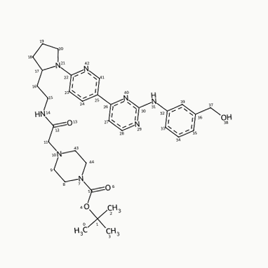 CC(C)(C)OC(=O)N1CCN(CC(=O)NCCC2CCCN2c2ccc(-c3ccnc(Nc4cccc(CO)c4)n3)cn2)CC1